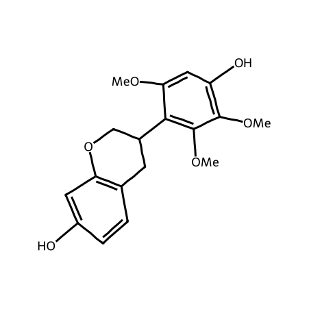 COc1cc(O)c(OC)c(OC)c1C1COc2cc(O)ccc2C1